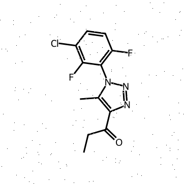 CCC(=O)c1nnn(-c2c(F)ccc(Cl)c2F)c1C